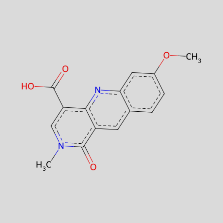 COc1ccc2cc3c(=O)n(C)cc(C(=O)O)c3nc2c1